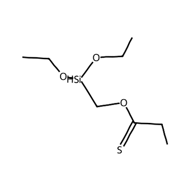 CCO[SiH](COC(=S)CC)OCC